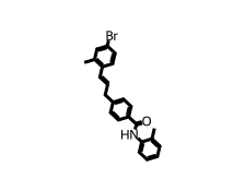 Cc1cc(Br)ccc1C=CCc1ccc(C(=O)Nc2ccccc2C)cc1